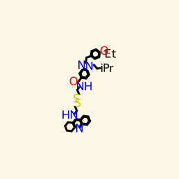 CCOc1ccc(Cc2nc3cc(C(=O)NCCSSCCNc4c5c(nc6ccccc46)CCCC5)ccc3n2CCC(C)C)cc1